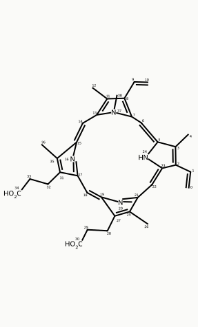 C=Cc1c(C)c2cc3c(C=C)c(C)c(cc4nc(cc5nc(cc1[nH]2)C(C)=C5CCC(=O)O)C(CCC(=O)O)=C4C)n3C